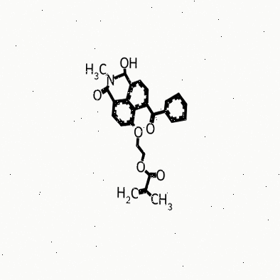 C=C(C)C(=O)OCCOc1ccc2c3c(ccc(C(=O)c4ccccc4)c13)C(O)N(C)C2=O